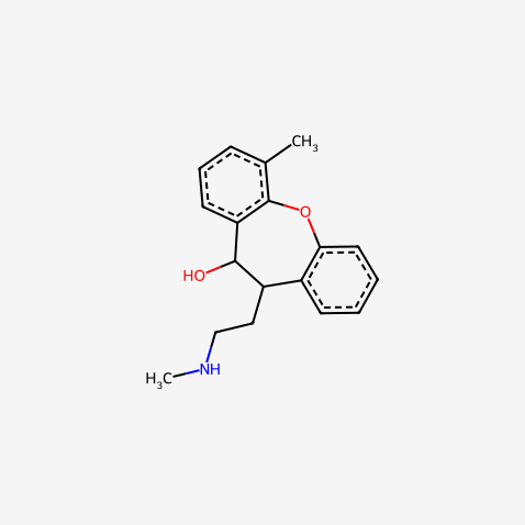 CNCCC1c2ccccc2Oc2c(C)cccc2C1O